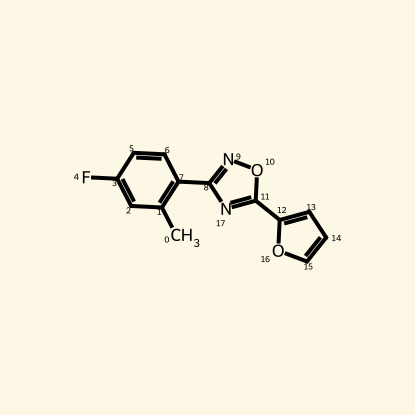 Cc1cc(F)ccc1-c1noc(-c2ccco2)n1